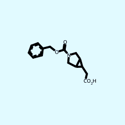 O=C(O)CC1C2CN(C(=O)OCc3ccccc3)CC12